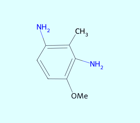 COc1ccc(N)c(C)c1N